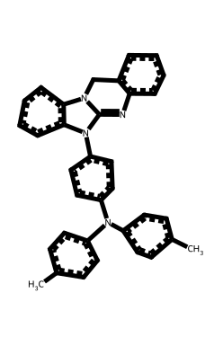 Cc1ccc(N(c2ccc(C)cc2)c2ccc(N3C4=Nc5ccccc5CN4c4ccccc43)cc2)cc1